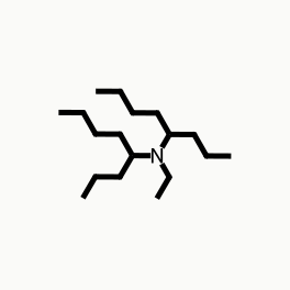 CCCCC(CCC)N(CC)C(CCC)CCCC